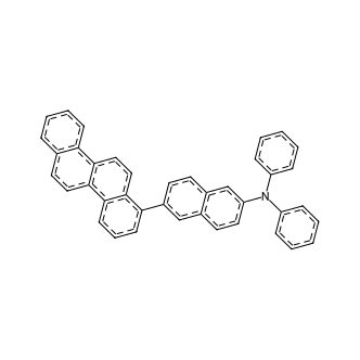 c1ccc(N(c2ccccc2)c2ccc3cc(-c4cccc5c4ccc4c6ccccc6ccc54)ccc3c2)cc1